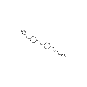 C=CCCC1CCC(CCC2CCC(COCC=C)CC2)CC1